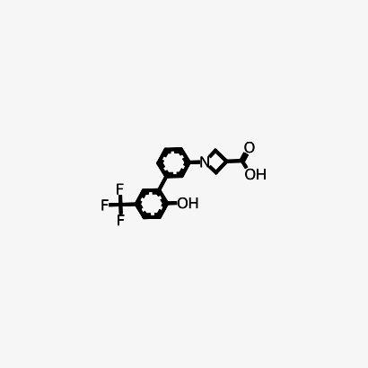 O=C(O)C1CN(c2cccc(-c3cc(C(F)(F)F)ccc3O)c2)C1